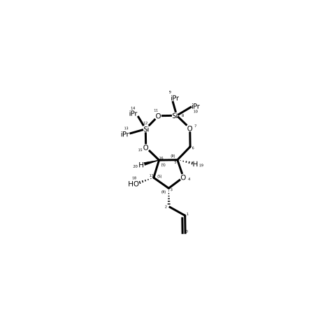 C=CC[C@H]1O[C@@H]2CO[Si](C(C)C)(C(C)C)O[Si](C(C)C)(C(C)C)O[C@H]2[C@H]1O